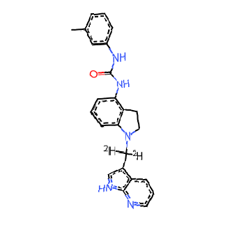 [2H]C([2H])(c1c[nH]c2ncccc12)N1CCc2c(NC(=O)Nc3cccc(C)c3)cccc21